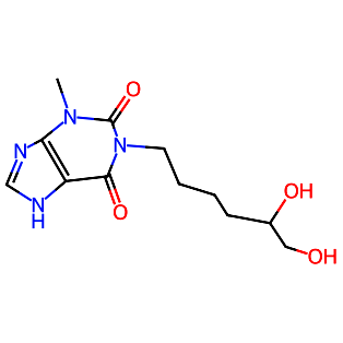 Cn1c(=O)n(CCCCC(O)CO)c(=O)c2[nH]cnc21